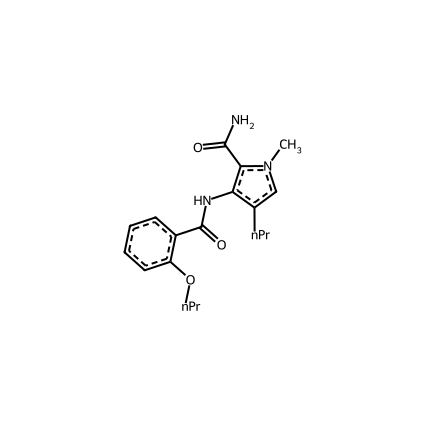 CCCOc1ccccc1C(=O)Nc1c(CCC)cn(C)c1C(N)=O